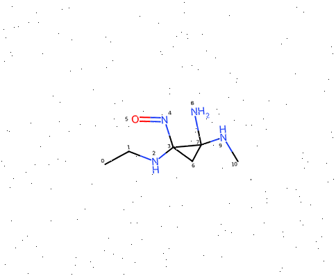 CCNC1(N=O)CC1(N)NC